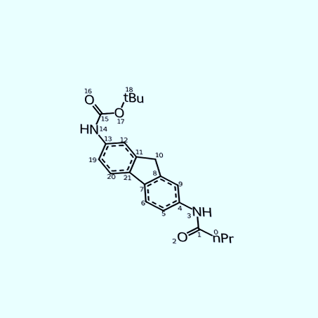 CCCC(=O)Nc1ccc2c(c1)Cc1cc(NC(=O)OC(C)(C)C)ccc1-2